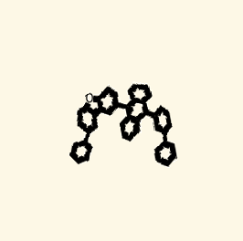 c1ccc(-c2cccc(-c3c4ccccc4c(-c4ccc5oc6ccc(-c7ccccc7)cc6c5c4)c4ccccc34)c2)cc1